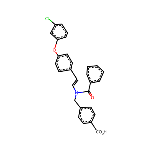 O=C(O)c1ccc(CN(C=Cc2ccc(Oc3cccc(Cl)c3)cc2)C(=O)c2ccccc2)cc1